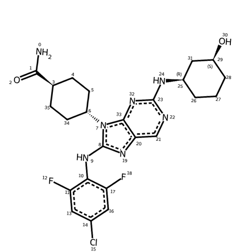 NC(=O)[C@H]1CC[C@H](n2c(Nc3c(F)cc(Cl)cc3F)nc3cnc(N[C@@H]4CCC[C@H](O)C4)nc32)CC1